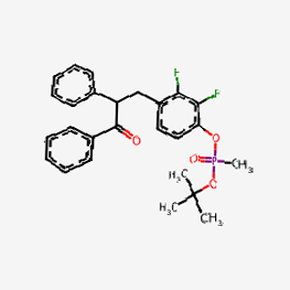 CC(C)(C)OP(C)(=O)Oc1ccc(CC(C(=O)c2ccccc2)c2ccccc2)c(F)c1F